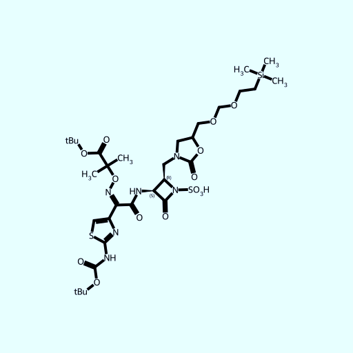 CC(C)(C)OC(=O)Nc1nc(C(=NOC(C)(C)C(=O)OC(C)(C)C)C(=O)N[C@@H]2C(=O)N(S(=O)(=O)O)[C@@H]2CN2CC(COCOCC[Si](C)(C)C)OC2=O)cs1